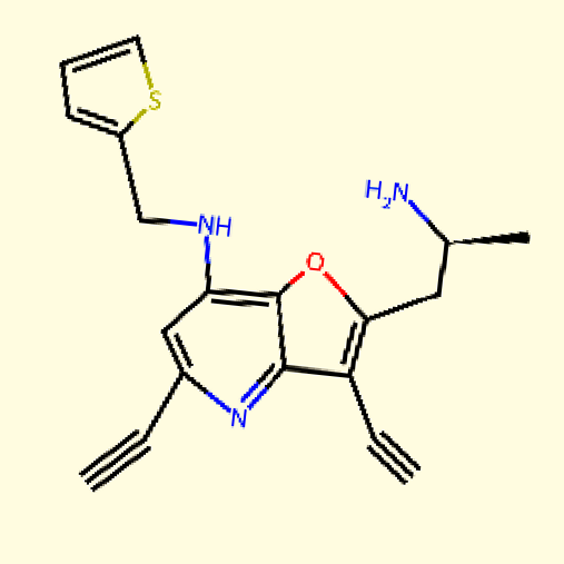 C#Cc1cc(NCc2cccs2)c2oc(C[C@H](C)N)c(C#C)c2n1